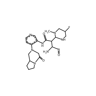 CN1CC(F)CNC1C(C(=O)Nc1cnccc1N1CC(=O)N2CCCC2C1)C(N)N=O